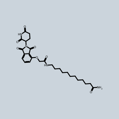 NC(=O)CCCCCCCCCCCNC(=O)COc1cccc2c1C(=O)N(C1CCC(=O)NC1=O)C2=O